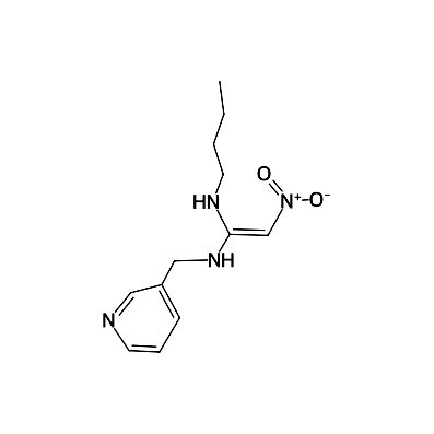 CCCCNC(=C[N+](=O)[O-])NCc1cccnc1